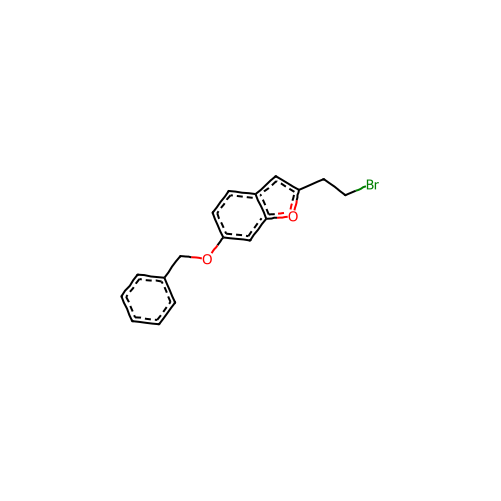 BrCCc1cc2ccc(OCc3ccccc3)cc2o1